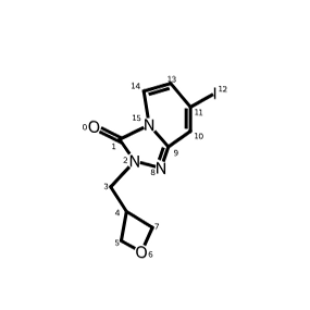 O=c1n(CC2COC2)nc2cc(I)ccn12